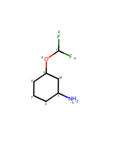 NC1CCCC(OC(F)F)C1